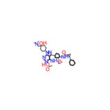 CC(=O)O.COc1cc(-c2nn(C3CCC(O)(CN(C)C)CC3)c3ncnc(N)c23)ccc1NC(=O)C1CC1c1ccccc1